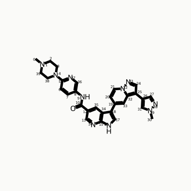 CN1CCN(c2ccc(NC(=O)c3cnc4[nH]cc(-c5ccn6ncc(-c7cnn(C)c7)c6c5)c4c3)cn2)CC1